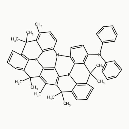 Cc1ccc2c3c1C(C)(C)c1cccc4c1B3c1c3c5c(c(C)c1C4(C)C)C(C)(C)c1cccc4c1B5c1c(ccc(N(c5ccccc5)c5ccccc5)c1C4(C)C)N23